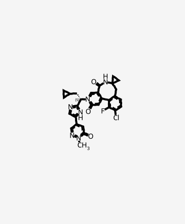 Cn1ncc(-c2cnc([C@H](CC3CC3)n3cc4c(cc3=O)-c3c(ccc(Cl)c3F)CC3(CC3)NC4=O)[nH]2)cc1=O